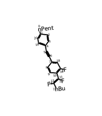 CCCCCc1ccc(C#Cc2ccc(C(F)=C(F)CCCC)c(F)c2)cc1